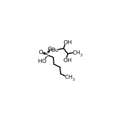 CCCCC(O)C(C)O.CCCCCS(=O)(=O)O